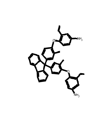 CCc1cc(N)ccc1Oc1ccc(C2(c3ccc(Oc4ccc(N)cc4CC)c(C)c3)c3ccccc3-c3ccccc32)cc1C